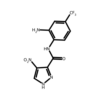 Nc1cc(C(F)(F)F)ccc1NC(=O)c1n[nH]cc1[N+](=O)[O-]